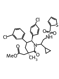 COC(=O)C[C@@]1(C)CC(c2cccc(Cl)c2)[C@@H](c2ccc(Cl)cc2)N(C(CNS(=O)(=O)c2cccs2)C2CC2)C1=O